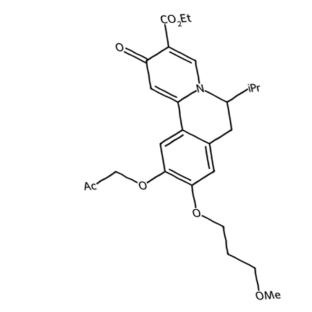 CCOC(=O)c1cn2c(cc1=O)-c1cc(OCC(C)=O)c(OCCCOC)cc1CC2C(C)C